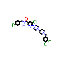 O=C(NCc1ccc(F)cc1)c1cnc(N2CCN(C3CCN(Cc4ccc(Cl)c(F)c4)CC3)CC2)c(Cl)c1